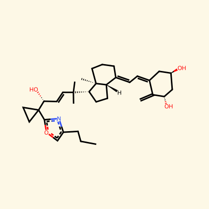 C=C1/C(=C\C=C2/CCC[C@]3(C)[C@@H](C(C)(C)/C=C/[C@@H](O)C4(c5nc(CCC)co5)CC4)CC[C@@H]23)C[C@@H](O)C[C@@H]1O